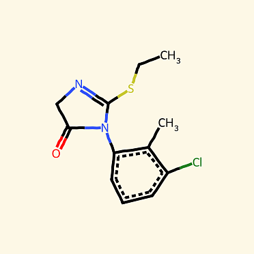 CCSC1=NCC(=O)N1c1cccc(Cl)c1C